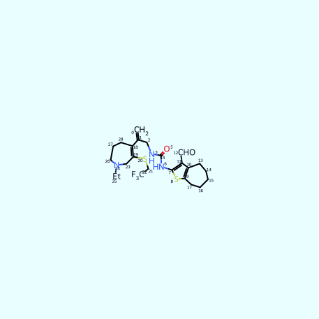 C=C(CNC(=O)Nc1sc2c(c1C=O)CCCCC2)C1=C(SCC(F)(F)F)CN(CC)CCC1